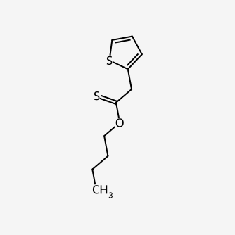 CCCCOC(=S)Cc1cccs1